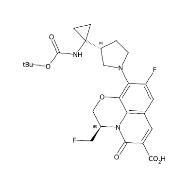 CC(C)(C)OC(=O)NC1([C@@H]2CCN(c3c(F)cc4cc(C(=O)O)c(=O)n5c4c3OC[C@@H]5CF)C2)CC1